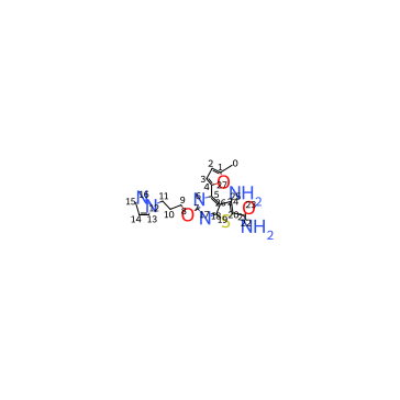 Cc1ccc(-c2nc(OCCCn3cccn3)nc3sc(C(N)=O)c(N)c23)o1